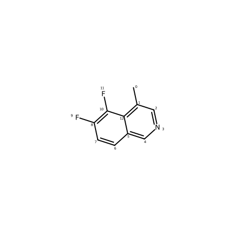 Cc1cncc2ccc(F)c(F)c12